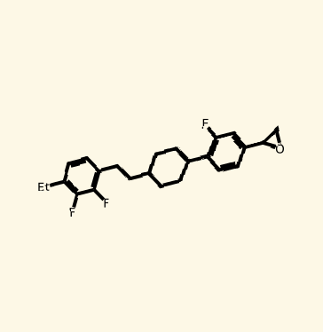 CCc1ccc(CCC2CCC(c3ccc(C4CO4)cc3F)CC2)c(F)c1F